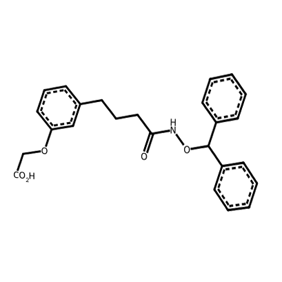 O=C(O)COc1cccc(CCCC(=O)NOC(c2ccccc2)c2ccccc2)c1